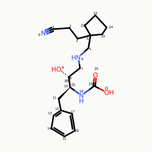 N#CCCC1(CNC[C@@H](O)[C@H](Cc2ccccc2)NC(=O)O)CCCC1